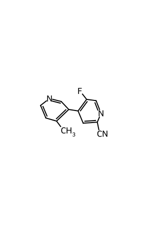 Cc1ccncc1-c1cc(C#N)ncc1F